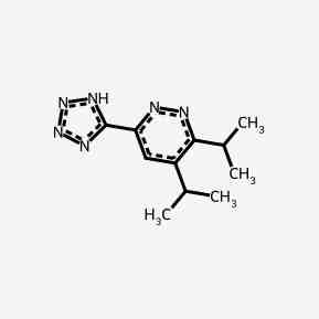 CC(C)c1cc(-c2nnn[nH]2)nnc1C(C)C